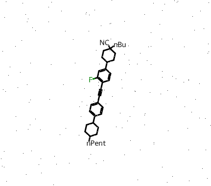 CCCCCC1CCC(c2ccc(C#Cc3ccc(C4CCC(C#N)(CCCC)CC4)cc3F)cc2)CC1